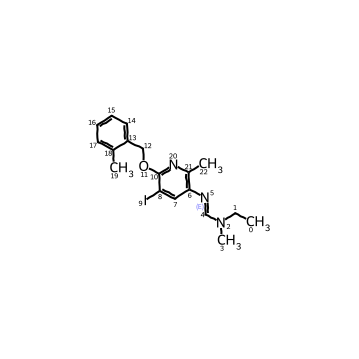 CCN(C)/C=N/c1cc(I)c(OCc2ccccc2C)nc1C